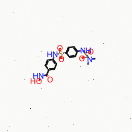 CN(C)S(=O)(=O)Nc1ccc(S(=O)(=O)Nc2ccc(C(=O)NO)cc2)cc1